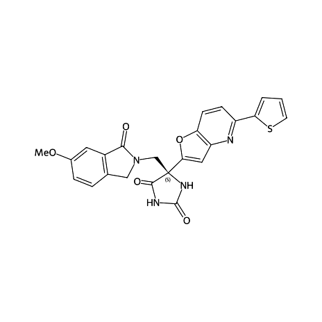 COc1ccc2c(c1)C(=O)N(C[C@@]1(c3cc4nc(-c5cccs5)ccc4o3)NC(=O)NC1=O)C2